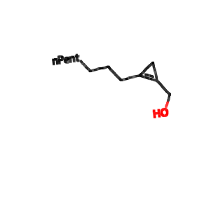 CCCCCCCCC1=C(CO)C1